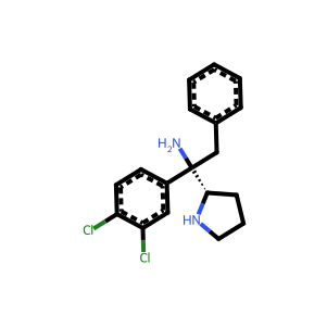 NC(Cc1ccccc1)(c1ccc(Cl)c(Cl)c1)[C@@H]1CCCN1